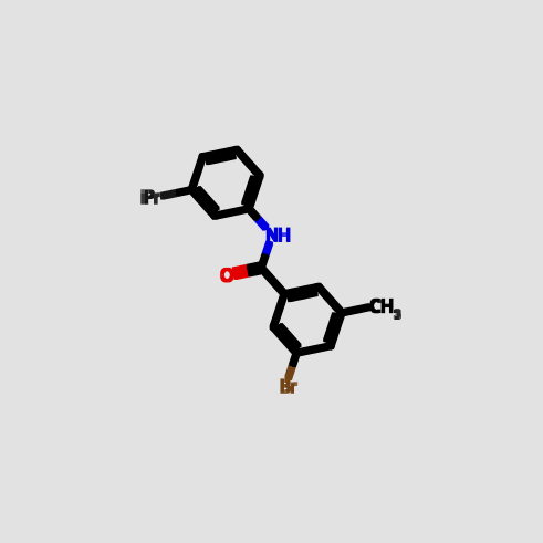 Cc1cc(Br)cc(C(=O)Nc2cccc(C(C)C)c2)c1